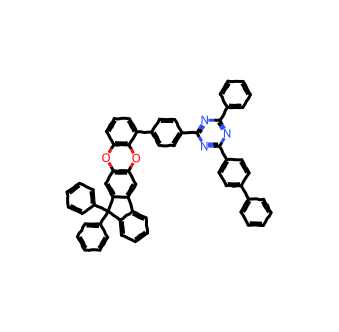 c1ccc(-c2ccc(-c3nc(-c4ccccc4)nc(-c4ccc(-c5cccc6c5Oc5cc7c(cc5O6)C(c5ccccc5)(c5ccccc5)c5ccccc5-7)cc4)n3)cc2)cc1